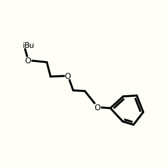 CCC(C)OCCOCCOc1ccccc1